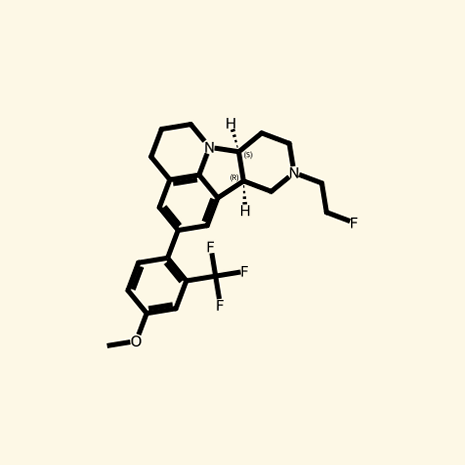 COc1ccc(-c2cc3c4c(c2)[C@@H]2CN(CCF)CC[C@@H]2N4CCC3)c(C(F)(F)F)c1